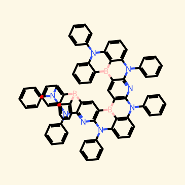 c1ccc(N2c3ccccc3B3c4cc5c(nc4N(c4ccccc4)c4cccc2c43)N(c2ccccc2)c2cccc3c2B5c2cc4c(nc2N3c2ccccc2)N(c2ccccc2)c2cccc3c2B4c2ccccc2N3c2ccccc2)cc1